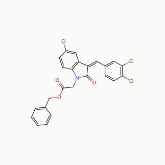 O=C(CN1C(=O)C(=Cc2ccc(Cl)c(Cl)c2)c2cc(Cl)ccc21)OCc1ccccc1